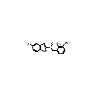 COc1cccc(C[S+]([O-])c2nc3cc(C(F)(F)F)ccc3[nH]2)c1N